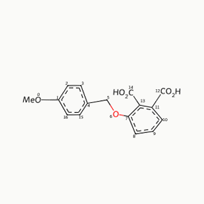 COc1ccc(COc2cccc(C(=O)O)c2C(=O)O)cc1